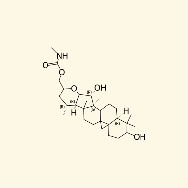 CNC(=O)OCC1C[C@@H](C)[C@H]2C(O1)[C@H](O)[C@@]1(C)C3CC[C@H]4C(C)(C)C(O)CCC45CC35CCC21C